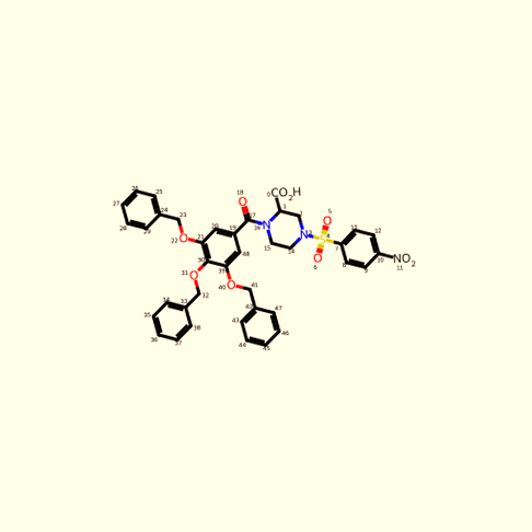 O=C(O)C1CN(S(=O)(=O)c2ccc([N+](=O)[O-])cc2)CCN1C(=O)c1cc(OCc2ccccc2)c(OCc2ccccc2)c(OCc2ccccc2)c1